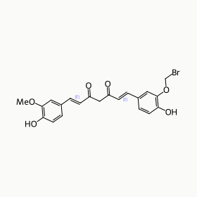 COc1cc(/C=C/C(=O)CC(=O)/C=C/c2ccc(O)c(OCBr)c2)ccc1O